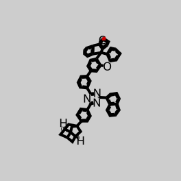 c1cc(-c2ccc3c(c2)Oc2ccccc2C32c3ccccc3-c3ccccc32)cc(-c2nc(-c3ccc(C45C[C@H]6CC7C[C@@H](C4)C76C5)cc3)nc(-c3cccc4ccccc34)n2)c1